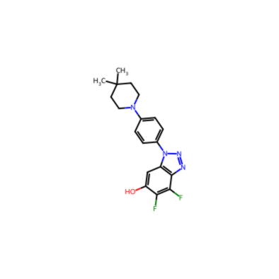 CC1(C)CCN(c2ccc(-n3nnc4c(F)c(F)c(O)cc43)cc2)CC1